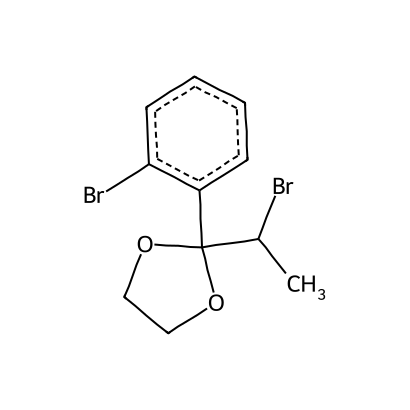 CC(Br)C1(c2ccccc2Br)OCCO1